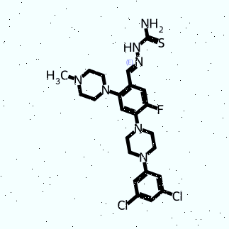 CN1CCN(c2cc(N3CCN(c4cc(Cl)cc(Cl)c4)CC3)c(F)cc2/C=N/NC(N)=S)CC1